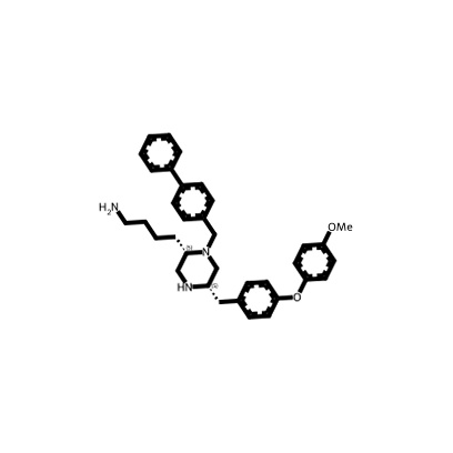 COc1ccc(Oc2ccc(C[C@H]3CN(Cc4ccc(-c5ccccc5)cc4)[C@@H](CCCCN)CN3)cc2)cc1